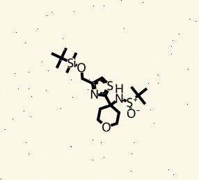 CC(C)(C)[S+]([O-])NC1(c2nc(CO[Si](C)(C)C(C)(C)C)cs2)CCOCC1